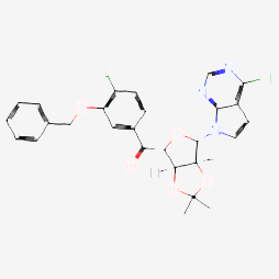 CC1(C)O[C@@H]2[C@H](O1)[C@@H](C(=O)c1ccc(Cl)c(OCc3ccccc3)c1)O[C@H]2n1ccc2c(Cl)ncnc21